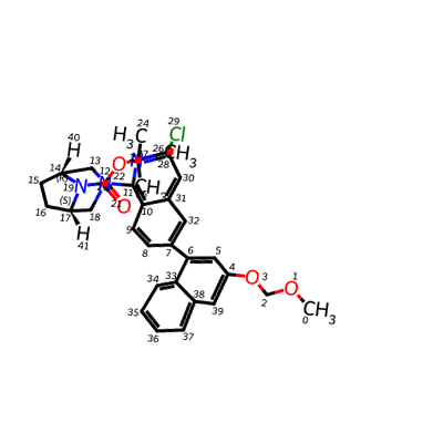 COCOc1cc(-c2ccc3c(N4C[C@H]5CC[C@@H](C4)N5C(=O)OC(C)(C)C)nc(Cl)cc3c2)c2ccccc2c1